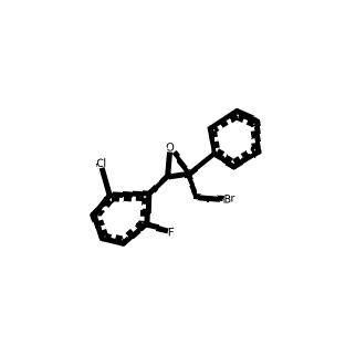 Fc1cccc(Cl)c1C1OC1(CBr)c1ccccc1